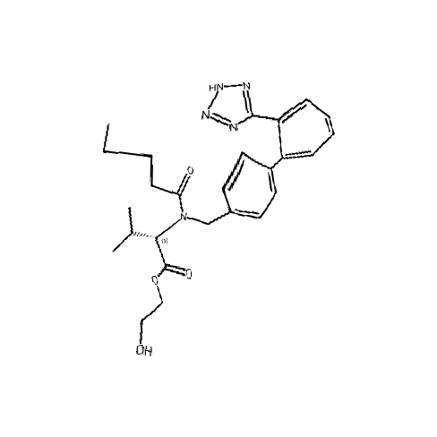 CCCCC(=O)N(Cc1ccc(-c2ccccc2-c2nn[nH]n2)cc1)[C@H](C(=O)OCCO)C(C)C